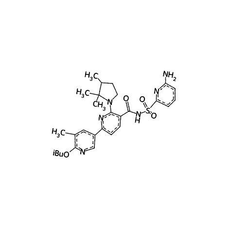 Cc1cc(-c2ccc(C(=O)NS(=O)(=O)c3cccc(N)n3)c(N3CCC(C)C3(C)C)n2)cnc1OCC(C)C